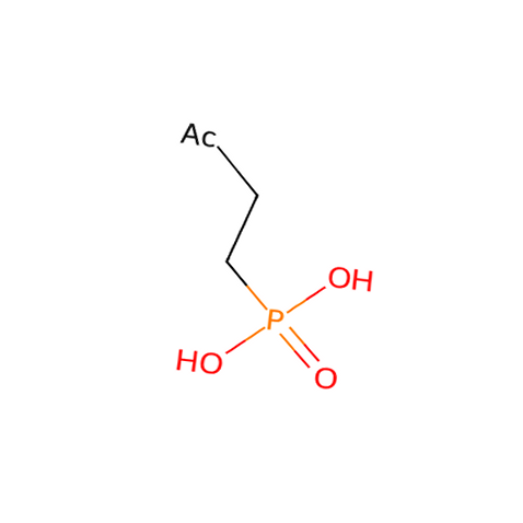 CC(=O)CCP(=O)(O)O